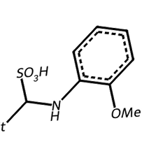 CCC(Nc1ccccc1OC)S(=O)(=O)O